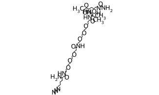 CC(C)C(=O)C(CCCNC(N)=O)NC(=O)C(NC(=O)CCOCCOCCOCCNC(=O)CCOCCOCCOCCNC(=O)C(N)CCCCN=[N+]=[N-])C(C)C